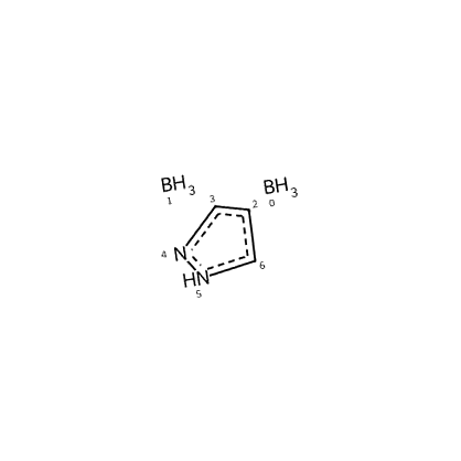 B.B.c1cn[nH]c1